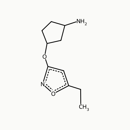 CCc1cc(OC2CCC(N)C2)no1